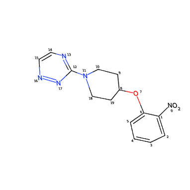 O=[N+]([O-])c1ccccc1OC1CCN(c2nccnn2)CC1